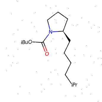 CC(C)CCCC[C@@H]1CCCN1C(=O)OCC(C)C